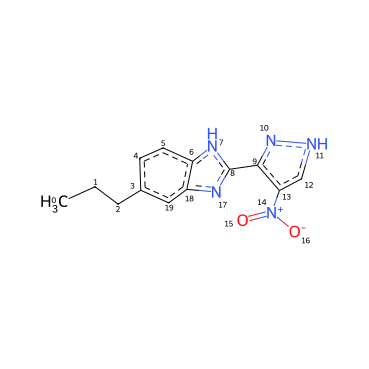 CCCc1ccc2[nH]c(-c3n[nH]cc3[N+](=O)[O-])nc2c1